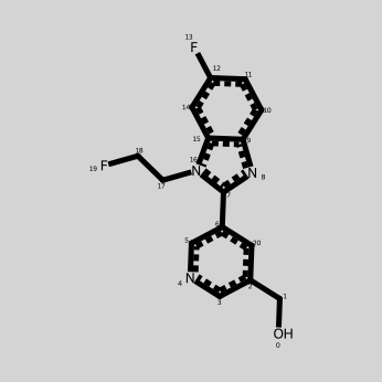 OCc1cncc(-c2nc3ccc(F)cc3n2CCF)c1